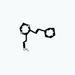 C=CCc1nccnc1C=Cc1ccccc1